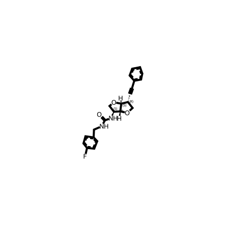 O=C(NCc1ccc(F)cc1)N[C@H]1CO[C@@H]2[C@@H]1OC[C@H]2C#Cc1ccccc1